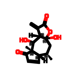 C=C1C(=O)O[C@]2(O)C[C@H](C)[C@@H]3C=CC(=O)[C@@]3(C)[C@@H](O)[C@H]12